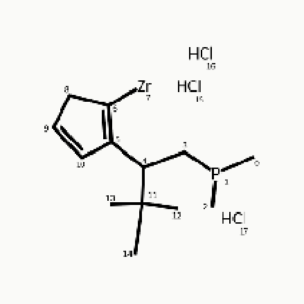 CP(C)CC(C1=[C]([Zr])CC=C1)C(C)(C)C.Cl.Cl.Cl